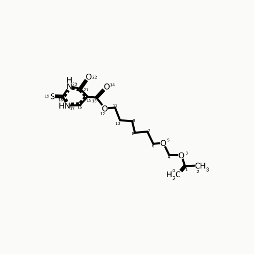 C=C(C)OCOCCCCCCOC(=O)c1c[nH]c(=S)[nH]c1=O